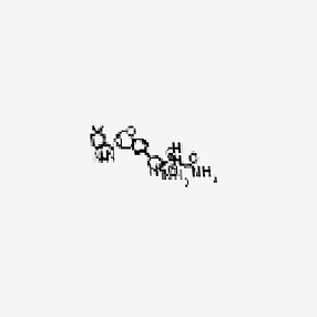 CC1(C)CCc2ncnc(N3CCOc4ccc(-c5cnc(N)c(S(=O)(=O)NCC(N)=O)c5)cc4C3)c2C1